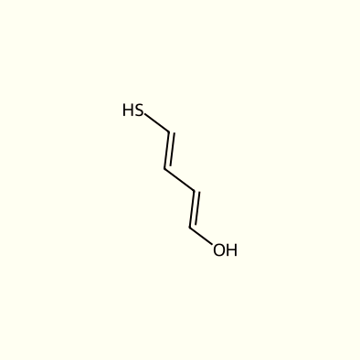 O/C=C/C=C/S